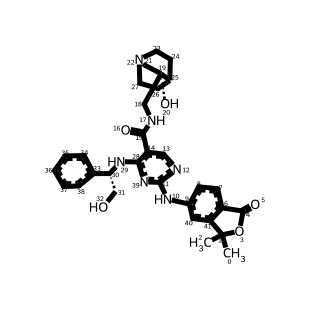 CC1(C)OC(=O)c2ccc(Nc3ncc(C(=O)NC[C@@]4(O)CN5CCC4CC5)c(N[C@H](CO)c4ccccc4)n3)cc21